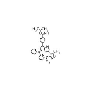 Cc1noc(C)c1-c1cnc2c(-c3ccc(C(=N)OC(C)C)cc3)cn([C@H](c3ccccc3)c3ccccn3)c2c1